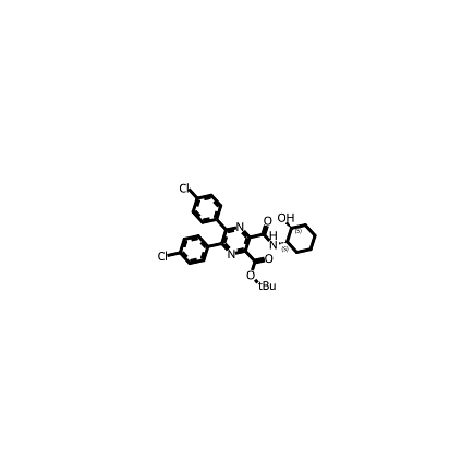 CC(C)(C)OC(=O)c1nc(-c2ccc(Cl)cc2)c(-c2ccc(Cl)cc2)nc1C(=O)N[C@H]1CCCC[C@@H]1O